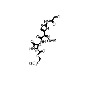 CCOC(=O)COC(=O)[C@H]1NC(=O)[C@H]1NC(=O)C(=NOC)c1csc(NC(=O)CCl)n1